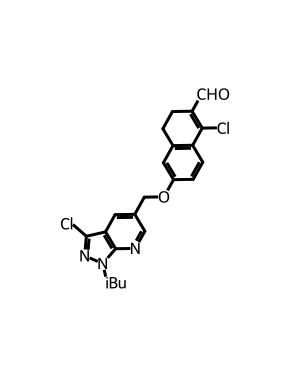 CCC(C)n1nc(Cl)c2cc(COc3ccc4c(c3)CCC(C=O)=C4Cl)cnc21